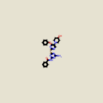 Nc1nc(NC(=O)c2ccccc2)nc(Sc2ncc(N3CCC(O)CC3)c(Oc3ccccc3)n2)n1